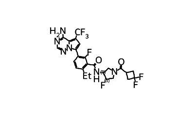 CCc1ccc(-c2cc(C(F)(F)F)c3c(N)ncnn23)c(F)c1C(=O)N[C@@H]1CN(C(=O)C2CC(F)(F)C2)C[C@@H]1F